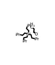 CC(C)CC[N+](CCC(C)C)(CCC(C)C)CCC(C)C.CCC=O